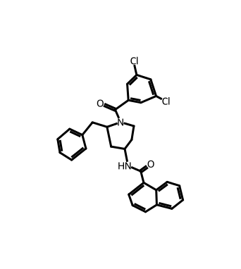 O=C(NC1CCN(C(=O)c2cc(Cl)cc(Cl)c2)C(Cc2ccccc2)C1)c1cccc2ccccc12